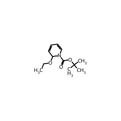 CCOC1C=CC=CN1C(=O)OC(C)(C)C